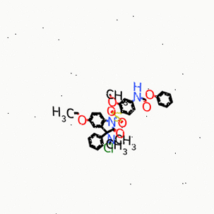 CCOc1ccc2c(c1)C(c1ccccc1Cl)(N(C)C)C(=O)N2S(=O)(=O)c1ccc(NC(=O)Oc2ccccc2)cc1OC